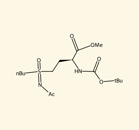 CCCCS(=O)(CC[C@H](NC(=O)OC(C)(C)C)C(=O)OC)=NC(C)=O